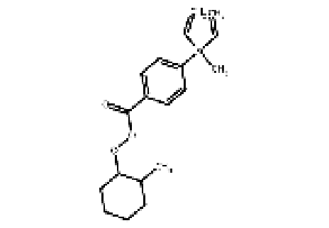 C=C[Si](C)(C=C)c1ccc(C(=O)OO[C]2CCCCC2C)cc1